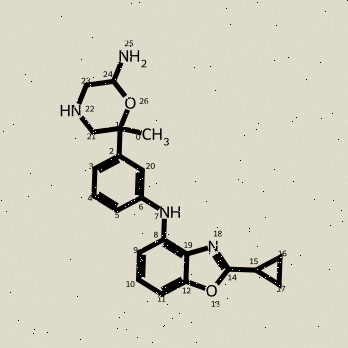 CC1(c2cccc(Nc3cccc4oc(C5CC5)nc34)c2)CNCC(N)O1